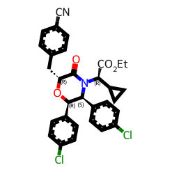 CCOC(=O)[C@@H](C1CC1)N1C(=O)[C@@H](Cc2ccc(C#N)cc2)O[C@H](c2ccc(Cl)cc2)[C@@H]1c1ccc(Cl)cc1